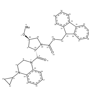 CC(C)(C)O[C@@H]1C[C@@H](C(=O)N2CCN(C3CC3)c3ccccc32)N(C(=O)OCC2c3ccccc3-c3ccccc32)C1